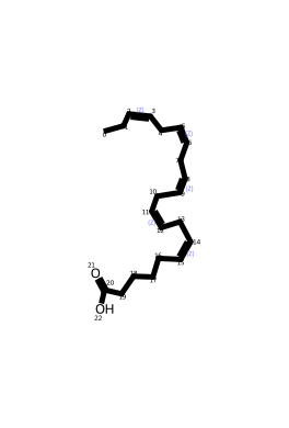 CC/C=C\C/C=C\C/C=C\C/C=C\C/C=C\CCCCC(=O)O